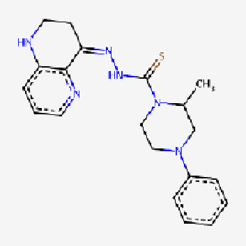 CC1CN(c2ccccc2)CCN1C(=S)N/N=C1/CCNc2cccnc21